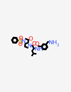 CC(C)CC(NC(=O)c1cccc(CN)c1)C(=O)N1CCC2C1C(=O)CN2S(=O)(=O)c1ccccc1